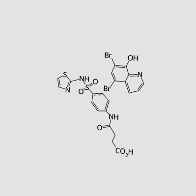 O=C(O)CCC(=O)Nc1ccc(S(=O)(=O)Nc2nccs2)cc1.Oc1c(Br)cc(Br)c2cccnc12